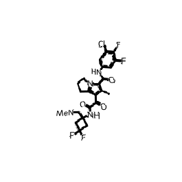 CNCC1(NC(=O)C(=O)c2c(C)c(C(=O)Nc3cc(F)c(F)c(Cl)c3)n3c2CCC3)CC(F)(F)C1